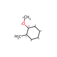 COC1[CH]CCCC1C